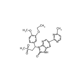 CCOc1cc(C(CS(C)(=O)=O)n2c(=O)[nH]c3cc(-c4nccc(C)n4)cnc32)ccc1OC